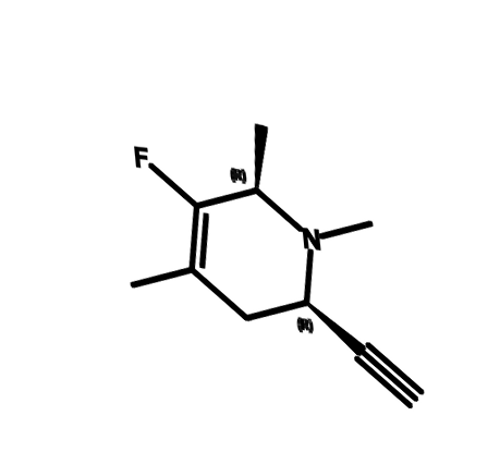 C#C[C@H]1CC(C)=C(F)[C@@H](C)N1C